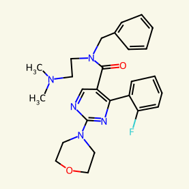 CN(C)CCN(Cc1ccccc1)C(=O)c1cnc(N2CCOCC2)nc1-c1ccccc1F